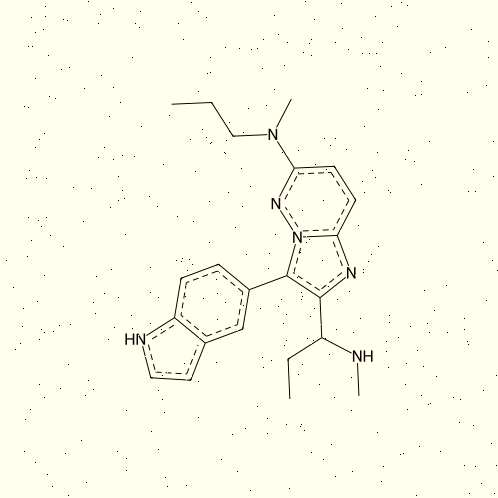 CCCN(C)c1ccc2nc(C(CC)NC)c(-c3ccc4[nH]ccc4c3)n2n1